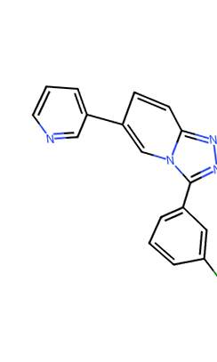 Clc1cccc(-c2nnc3ccc(-c4cccnc4)cn23)c1